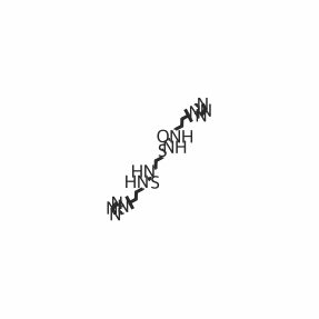 CC(C)(CCCNC(=O)NSCCCNC(=S)NCCCC(C)(C)n1cnnn1)n1cnnn1